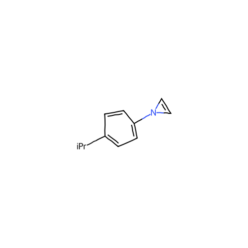 CC(C)c1ccc(N2C=C2)cc1